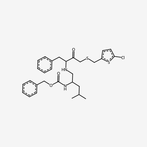 CC(C)CC(CNC(Cc1ccccc1)C(=O)CSCc1ccc(Cl)s1)NC(=O)OCc1ccccc1